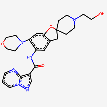 O=C(Nc1cc2c(cc1N1CCOCC1)OC1(CCN(CCO)CC1)C2)c1cnn2cccnc12